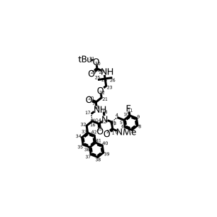 CNC(=O)[C@@H](Cc1ccccc1F)N(C)C(=O)[C@@H](CNC(=O)COCC(C)(C)NC(=O)OC(C)(C)C)Cc1ccc2ccccc2c1